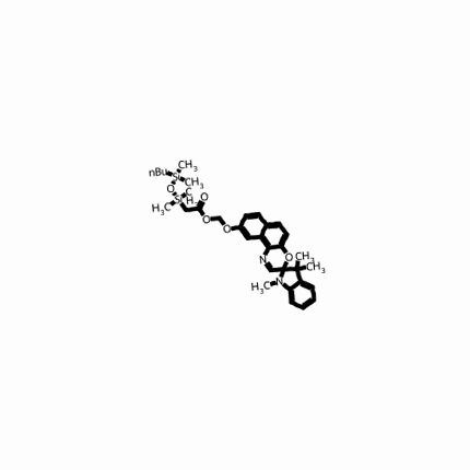 CCCC[Si](C)(C)O[Si](C)(C)CC(=O)OCOc1ccc2ccc3c(c2c1)N=CC1(O3)N(C)c2ccccc2C1(C)C